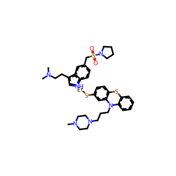 CCSc1ccc2c(c1)N(CCCN1CCN(C)CC1)c1ccccc1S2.CN(C)CCc1c[nH]c2ccc(CS(=O)(=O)N3CCCC3)cc12